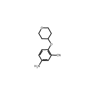 N#Cc1cc(N)ccc1OC1CCOCC1